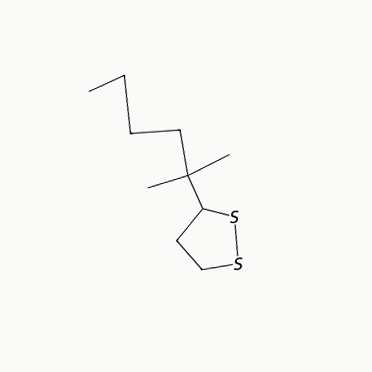 CCCCC(C)(C)C1CCSS1